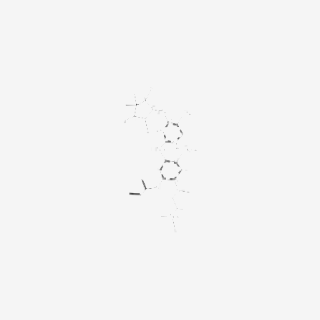 C=CC(=O)Nc1cc(Nc2ncc(C#N)c(NC3C(C)C(C)C(C)(C)C3C)n2)c(OC)cc1N(C)CCN(C)C